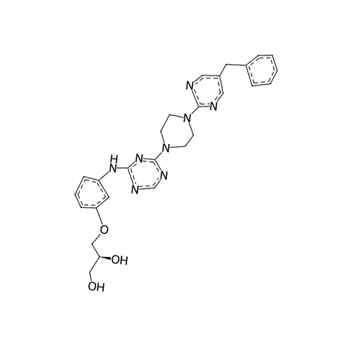 OC[C@H](O)COc1cccc(Nc2ncnc(N3CCN(c4ncc(Cc5ccccc5)cn4)CC3)n2)c1